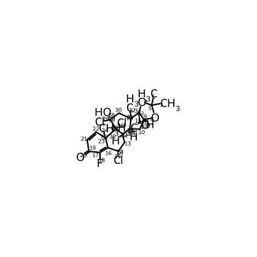 CC(=O)[C@@]12OC(C)(C)O[C@@H]1C[C@H]1[C@@H]3C[C@H](Cl)C4=C(F)C(=O)C=C[C@]4(C)[C@@]3(Cl)[C@@](O)(Cl)C[C@@]12C